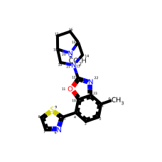 Cc1ccc(-c2nccs2)c2oc(N3CC4CCC(C3)N4C(=O)O)nc12